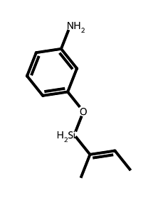 CC=C(C)[SiH2]Oc1cccc(N)c1